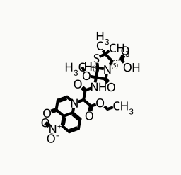 CCOC(=O)C(C(=O)NC1(OC)C(=O)N2[C@@H](C(=O)O)C(C)(C)S[C@@H]21)n1ccc(=O)c2c([N+](=O)[O-])cccc21